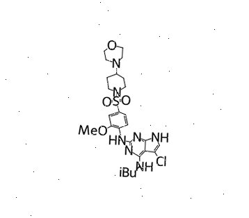 CC[C@H](C)Nc1nc(Nc2ccc(S(=O)(=O)N3CCC(N4CCOCC4)CC3)cc2OC)nc2[nH]cc(Cl)c12